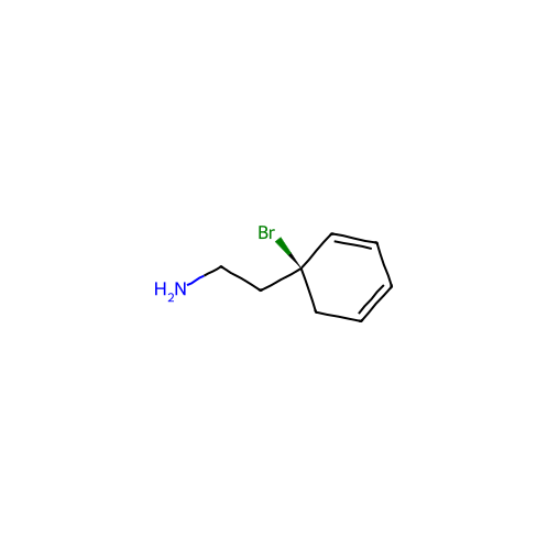 NCC[C@]1(Br)C=CC=CC1